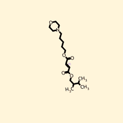 CC(C)C(C)COC(=O)/C=C/C(=O)OCCCCCN1CCOCC1